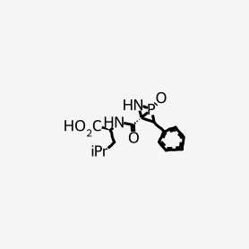 CC(C)C[C@H](NC(=O)[C@]12NP1(=O)C2c1ccccc1)C(=O)O